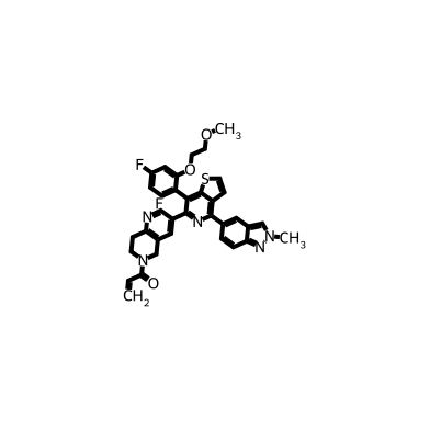 C=CC(=O)N1CCc2ncc(-c3nc(-c4ccc5nn(C)cc5c4)c4ccsc4c3-c3c(F)cc(F)cc3OCCOC)cc2C1